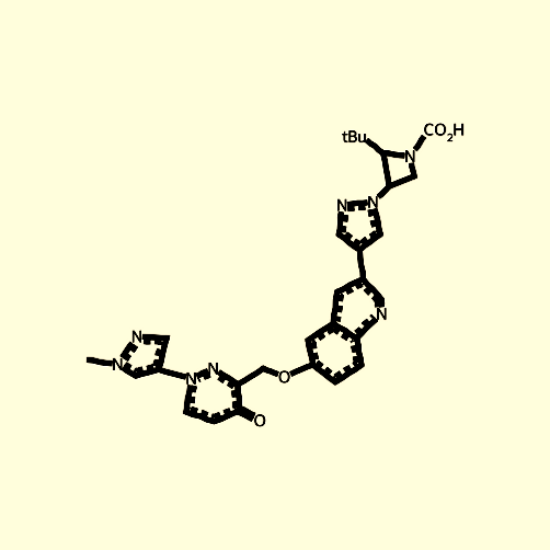 Cn1cc(-n2ccc(=O)c(COc3ccc4ncc(-c5cnn(C6CN(C(=O)O)C6C(C)(C)C)c5)cc4c3)n2)cn1